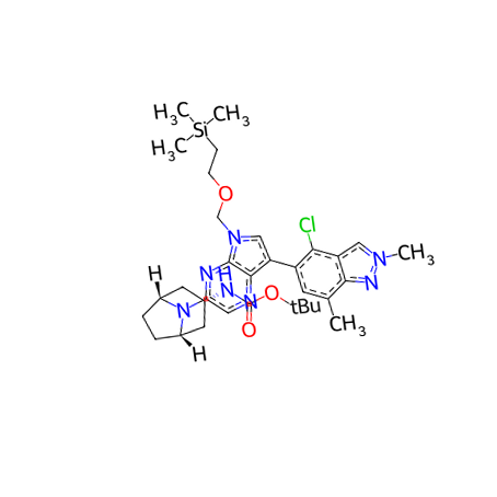 Cc1cc(-c2cn(COCC[Si](C)(C)C)c3nc(N4[C@@H]5CC[C@H]4C[C@@H](NC(=O)OC(C)(C)C)C5)cnc23)c(Cl)c2cn(C)nc12